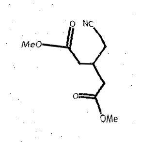 COC(=O)CC(CC#N)CC(=O)OC